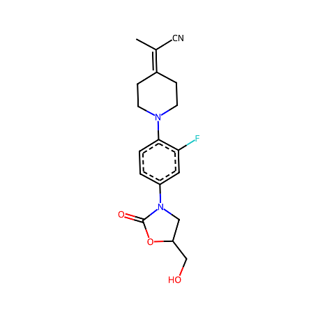 CC(C#N)=C1CCN(c2ccc(N3CC(CO)OC3=O)cc2F)CC1